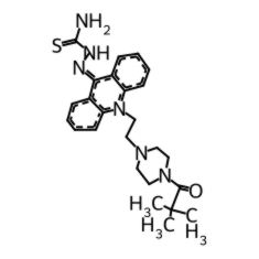 CC(C)(C)C(=O)N1CCN(CCn2c3ccccc3c(=NNC(N)=S)c3ccccc32)CC1